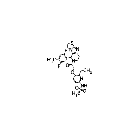 CCc1nc(NS(C)(=O)=O)ccc1OCC(=O)N1CCc2nc3n(c2C1c1cc(F)c(C)cc1F)CCS3